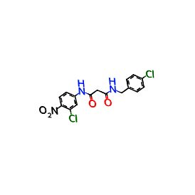 O=C(CC(=O)Nc1ccc([N+](=O)[O-])c(Cl)c1)NCc1ccc(Cl)cc1